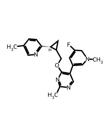 Cc1ccc([C@@H]2CC2COc2nc(C)ncc2C2=CN(C)CC(F)=C2)nc1